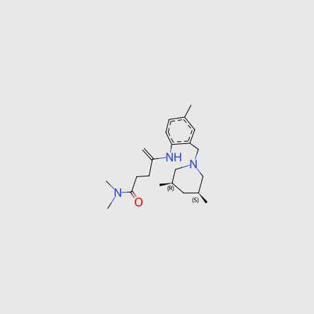 C=C(CCC(=O)N(C)C)Nc1ccc(C)cc1CN1C[C@H](C)C[C@H](C)C1